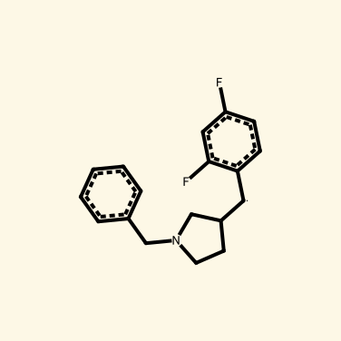 Fc1ccc([CH]C2CCN(Cc3ccccc3)C2)c(F)c1